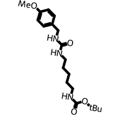 COc1ccc(CNC(=O)NCCCCCNC(=O)OC(C)(C)C)cc1